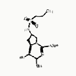 CC(C)(C)C1=NC(C(C)(C)C)C(C(C)(C)C)=C2CC(NS(=O)(=O)CCO)CN12